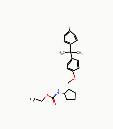 CCOC(=O)N[C@H]1CCC[C@H]1COc1ccc(C(C)(C)c2ccc(F)cc2)cc1